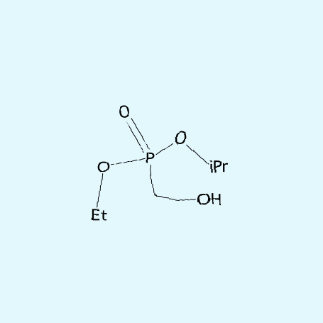 CCOP(=O)(CO)OC(C)C